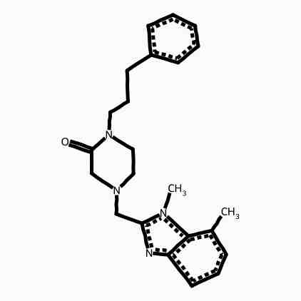 Cc1cccc2nc(CN3CCN(CCCc4ccccc4)C(=O)C3)n(C)c12